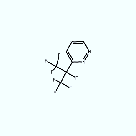 FC(F)(F)C(F)(c1c[c]cnn1)C(F)(F)F